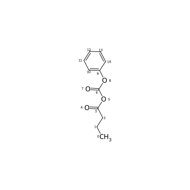 CCCC(=O)OC(=O)Oc1ccccc1